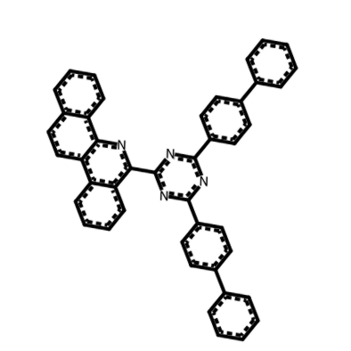 c1ccc(-c2ccc(-c3nc(-c4ccc(-c5ccccc5)cc4)nc(-c4nc5c6ccccc6ccc5c5ccccc45)n3)cc2)cc1